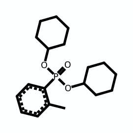 Cc1ccccc1P(=O)(OC1CCCCC1)OC1CCCCC1